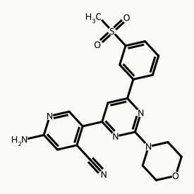 CS(=O)(=O)c1cccc(-c2cc(-c3cnc(N)cc3C#N)nc(N3CCOCC3)n2)c1